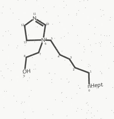 CCCCCCCCCCCC[N+]1(CCO)C=NCC1